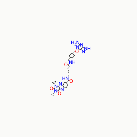 Cc1cc2nc3c(=O)n(C4CC4)c(=O)n(C4CC4)c3nc2cc1C(=O)NCCCCCC(=O)NCc1ccc(COc2nc(N)nc3[nH]cnc23)cc1